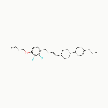 C=CCCOc1ccc(CC/C=C/C2CCC(C3CC=C(CCC)CC3)CC2)c(F)c1F